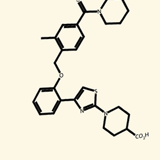 Cc1cc(C(=O)N2CCCCC2)ccc1COc1ccccc1-c1csc(N2CCC(C(=O)O)CC2)n1